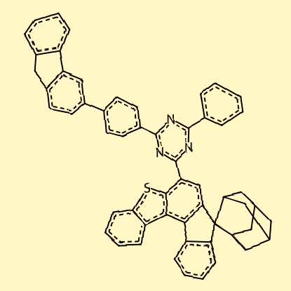 c1ccc(-c2nc(-c3ccc(-c4ccc5c(c4)-c4ccccc4C5)cc3)nc(-c3cc4c(c5c3sc3ccccc35)-c3ccccc3C43C4CC5CC(C4)CC3C5)n2)cc1